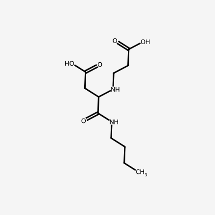 CCCCNC(=O)C(CC(=O)O)NCCC(=O)O